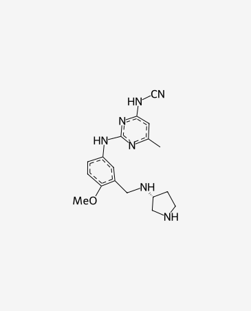 COc1ccc(Nc2nc(C)cc(NC#N)n2)cc1CN[C@@H]1CCNC1